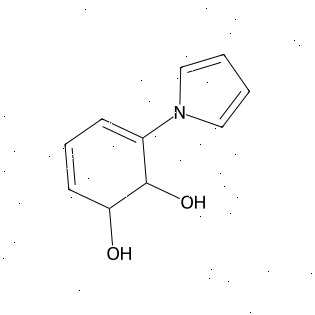 OC1C=CC=C(n2cccc2)C1O